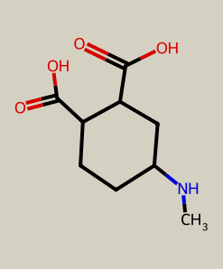 CNC1CCC(C(=O)O)C(C(=O)O)C1